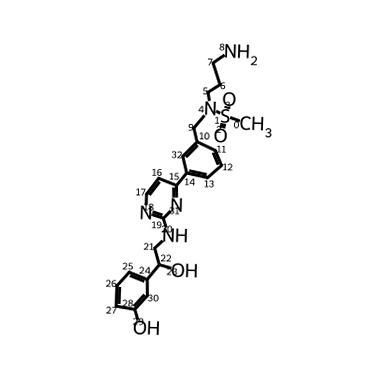 CS(=O)(=O)N(CCCN)Cc1cccc(-c2ccnc(NCC(O)c3cccc(O)c3)n2)c1